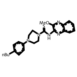 CCCCc1ccc(N2CCN(C(=S)Nc3nc4ccccc4nc3OC)CC2)cc1